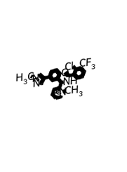 CN1CC2CCC1(C(NC(=O)c1cccc(C(F)(F)F)c1Cl)c1cccc(-c3cnn(C)c3)c1)CC2